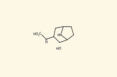 Cl.O=C(O)NC1CC2CCC(C1)N2